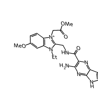 CCn1c(CNC(=O)c2nc3cc[nH]c3nc2N)[n+](CC(=O)OC)c2ccc(OC)cc21